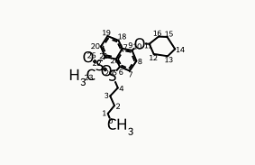 CCCCCSc1ccc(OC2CCCCC2)c2cccc(S(C)(=O)=O)c12